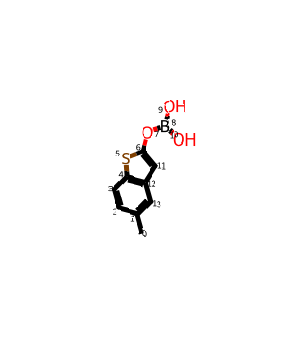 Cc1ccc2sc(OB(O)O)cc2c1